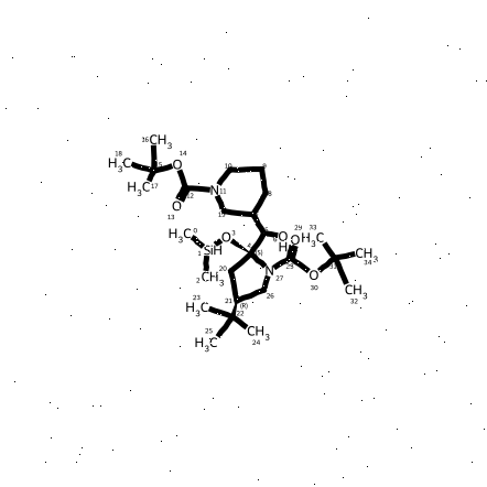 C[SiH](C)O[C@]1(C(O)C2CCCN(C(=O)OC(C)(C)C)C2)C[C@H](C(C)(C)C)CN1C(=O)OC(C)(C)C